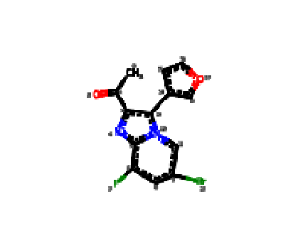 CC(=O)c1nc2c(F)cc(Br)cn2c1-c1ccoc1